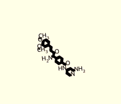 COc1ccc(/C=C/C(=O)C(N)c2ccc(C(=O)Nc3ccnc(N)c3)cc2)cc1OC